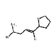 CC/C(=C\CC(N)CC)C1CCCO1